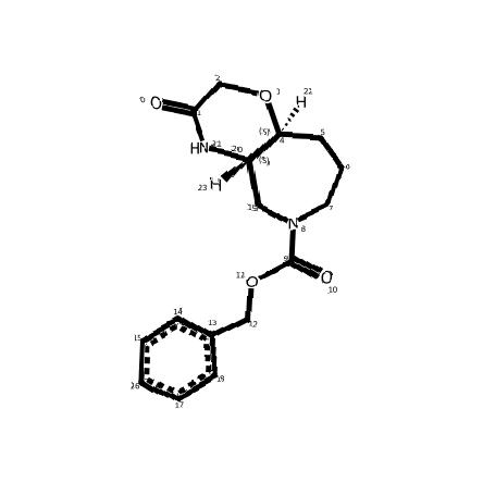 O=C1CO[C@H]2CCCN(C(=O)OCc3ccccc3)C[C@@H]2N1